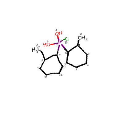 CC1CCCCC1P(O)(O)(Cl)C1CCCCC1C